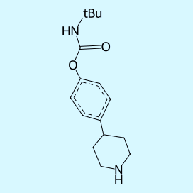 CC(C)(C)NC(=O)Oc1ccc(C2CCNCC2)cc1